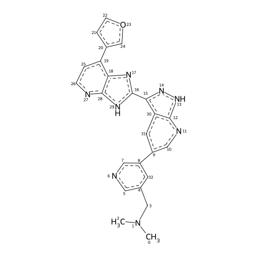 CN(C)Cc1cncc(-c2cnc3[nH]nc(-c4nc5c(-c6ccoc6)ccnc5[nH]4)c3c2)c1